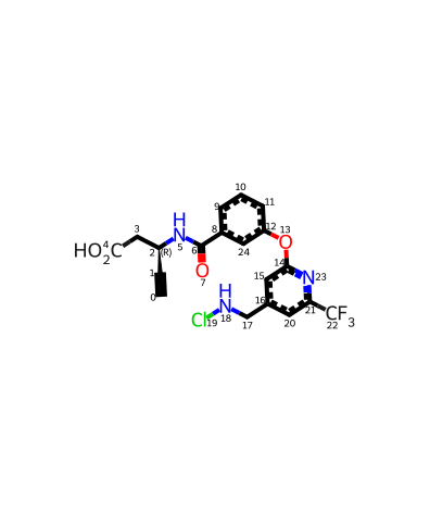 C#C[C@@H](CC(=O)O)NC(=O)c1cccc(Oc2cc(CNCl)cc(C(F)(F)F)n2)c1